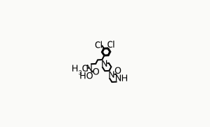 CN(CCCC(c1ccc(Cl)c(Cl)c1)N1CCC(N2CCCNC2=O)CC1)C(=O)O